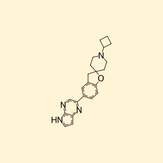 c1cc2nc(-c3ccc4c(c3)CC3(CCN(C5CCC5)CC3)O4)cnc2[nH]1